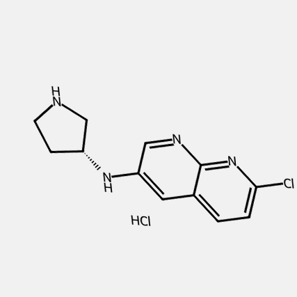 Cl.Clc1ccc2cc(N[C@@H]3CCNC3)cnc2n1